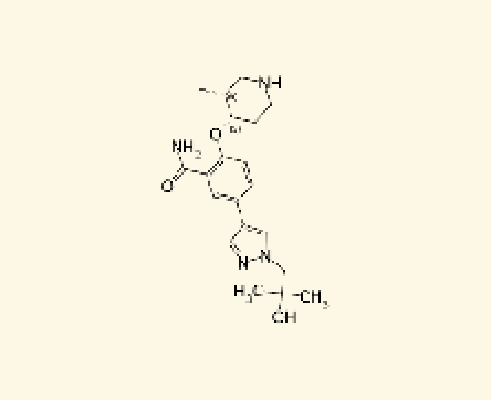 CC(C)(O)Cn1cc(-c2ccc(O[C@H]3CCNC[C@H]3F)c(C(N)=O)c2)cn1